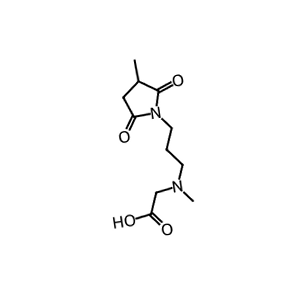 CC1CC(=O)N(CCCN(C)CC(=O)O)C1=O